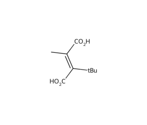 CC(C(=O)O)=C(C(=O)O)C(C)(C)C